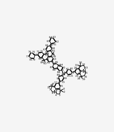 CC1(C)CCN2CCC(C)(C)c3cc(-c4ccc(N(c5ccc(-c6cc7c8c(c6)C(C)(C)CCN8CCC7(C)C)cc5)c5ccc6cc(-c7cc8c9c(c7)C(C)(C)c7cc(-c%10ccccc%10)ccc7N9c7ccc(-c9ccccc9)cc7C8(C)C)ccc6c5)cc4)cc1c32